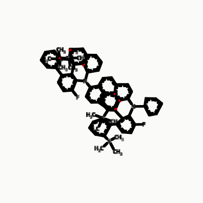 C[Si](C)(C)c1ccccc1-c1ccc(F)c(N(c2ccccc2)c2ccc3ccc4c(N(c5ccccc5)c5c(F)ccc(-c6ccccc6[Si](C)(C)C)c5-c5ccccc5[Si](C)(C)C)ccc5ccc2c3c54)c1-c1ccccc1[Si](C)(C)C